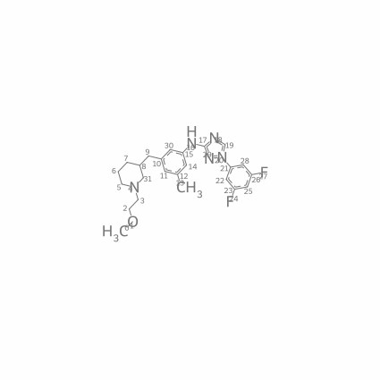 COCCN1CCCC(Cc2cc(C)cc(Nc3ncn(-c4cc(F)cc(F)c4)n3)c2)C1